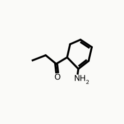 CCC(=O)C1CC=CC=C1N